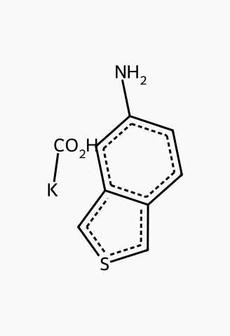 Nc1ccc2cscc2c1.O=[C](O)[K]